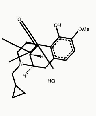 COc1ccc2c(c1O)[C@]13CCN(CC4CC4)[C@H](C2)[C@@H]1C(C)C(C)C(=O)C3.Cl